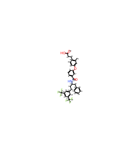 Cc1cc(Oc2cccc(C(=O)NC(CCc3cc(C(F)(F)F)cc(C(F)(F)F)c3)Cc3ccccc3)c2)ccc1CCC(=O)O